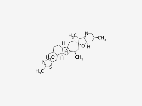 CC1=NC2CC3CC[C@H]4[C@@H]5CC[C@@]6(CC(C)=C5C[C@@H]4[C@@]3(C)CC2S1)O[C@@H]1C[C@H](C)CN=C1[C@H]6C